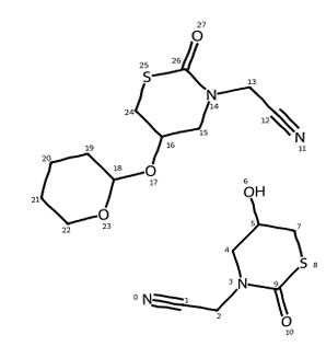 N#CCN1CC(O)CSC1=O.N#CCN1CC(OC2CCCCO2)CSC1=O